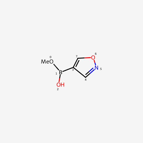 COB(O)c1cnoc1